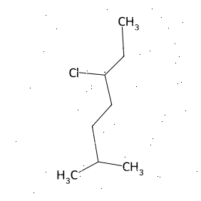 CC[C](Cl)CCC(C)C